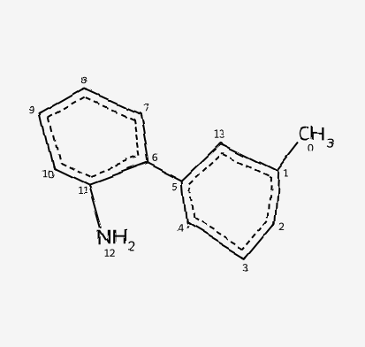 Cc1cc[c]c(-c2ccccc2N)c1